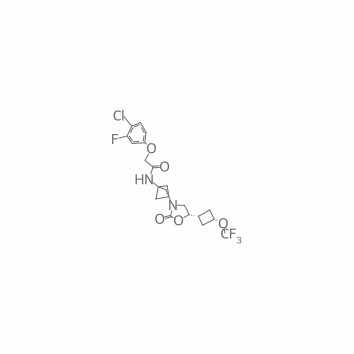 O=C(COc1ccc(Cl)c(F)c1)NC12CC(N3CC([C@H]4C[C@@H](OC(F)(F)F)C4)OC3=O)(C1)C2